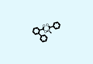 CN(OC(=O)c1ccccc1-c1ccccc1)C(=O)c1ccccc1